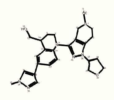 CC(=O)N1CCc2c(c(N3CCC(CO)c4cc(-c5cnn(C)c5)ccc43)nn2C2CCOC2)C1